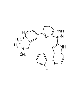 C=C/C(=C\C(=C/C)c1ccc2[nH]nc(-c3cc4c(-c5ccccc5F)nccc4[nH]3)c2n1)CN(C)C